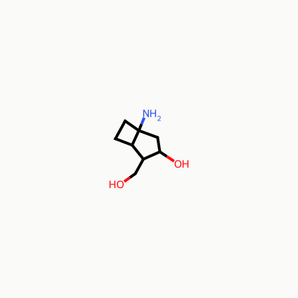 NC12CCC1C(CO)C(O)C2